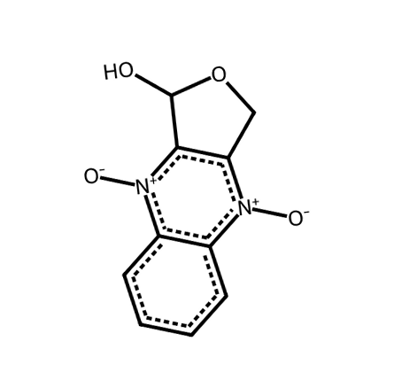 [O-][n+]1c2c([n+]([O-])c3ccccc31)C(O)OC2